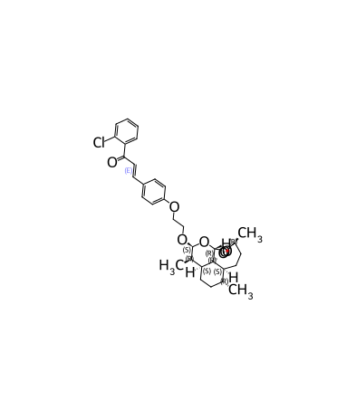 C[C@H]1[C@@H](OCCOc2ccc(/C=C/C(=O)c3ccccc3Cl)cc2)O[C@@H]2O[C@@]3(C)CC[C@H]4[C@H](C)CC[C@@H]1[C@@]24OO3